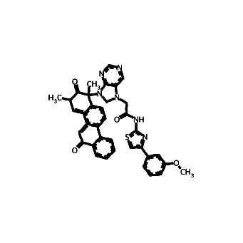 COc1cccc(-c2csc(NC(=O)CN3CN(C4(C)C(=O)C(C)C=c5c4ccc4c5=CC(=O)c5ccccc5-4)c4ncncc43)n2)c1